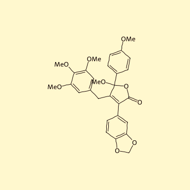 COc1ccc(C2(OC)OC(=O)C(c3ccc4c(c3)OCO4)=C2Cc2cc(OC)c(OC)c(OC)c2)cc1